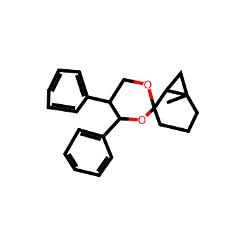 CC12CCCC3(OCC(c4ccccc4)C(c4ccccc4)O3)C1C2